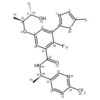 Cc1cnc(-c2cc(O[C@@H](C)[C@H](C)O)cc(C(=O)N[C@H](C)c3cnc(C(F)(F)F)nc3)c2F)s1